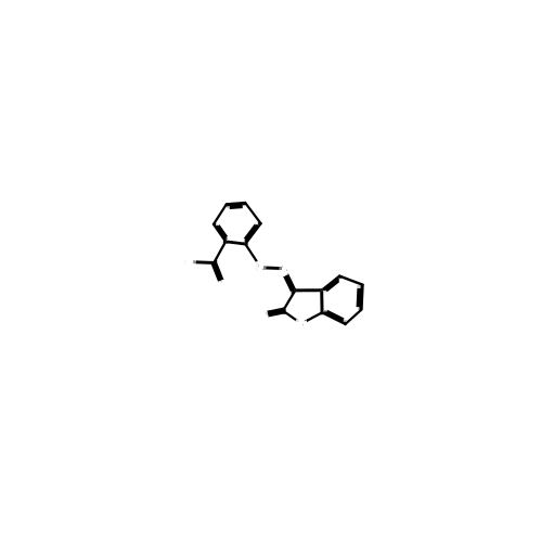 O=C1Nc2ccccc2/C1=N/Nc1ccccc1C(=O)O